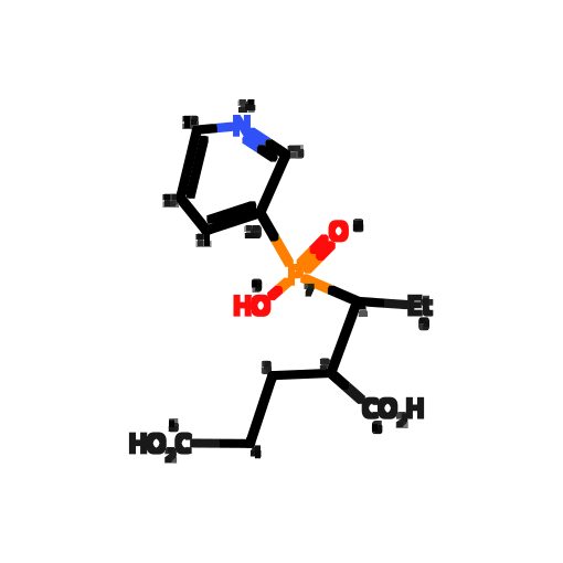 CCC(C(CCC(=O)O)C(=O)O)P(=O)(O)c1cccnc1